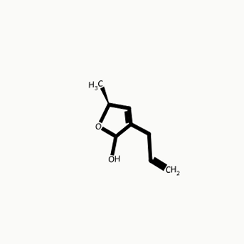 C=CCC1=C[C@H](C)OC1O